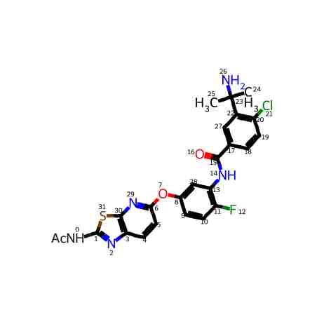 CC(=O)Nc1nc2ccc(Oc3ccc(F)c(NC(=O)c4ccc(Cl)c(C(C)(C)N)c4)c3)nc2s1